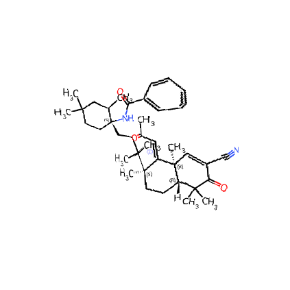 CC(=O)/C=C1/[C@@]2(C)C=C(C#N)C(=O)C(C)(C)[C@@H]2CC[C@@]1(C)C(C)(C)CC[C@@]1(NC(=O)c2ccccc2)CCC(C)(C)CC1C